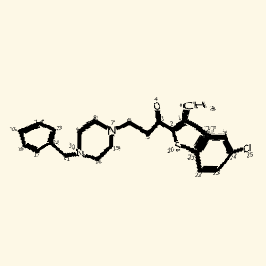 Cc1c(C(=O)CCN2CCN(Cc3ccccc3)CC2)sc2ccc(Cl)cc12